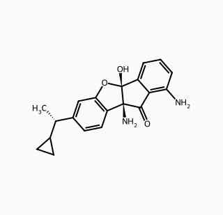 C[C@H](c1ccc2c(c1)O[C@]1(O)c3cccc(N)c3C(=O)[C@]21N)C1CC1